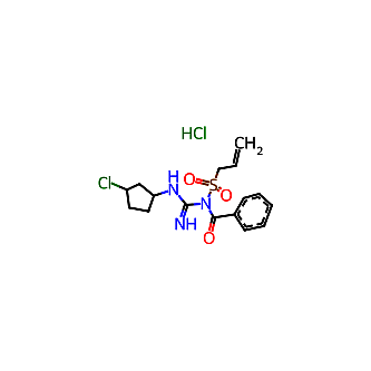 C=CCS(=O)(=O)N(C(=N)NC1CCC(Cl)C1)C(=O)c1ccccc1.Cl